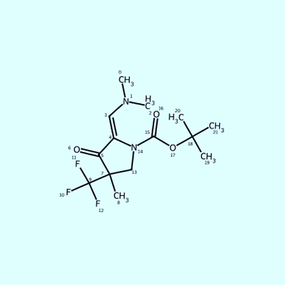 CN(C)C=C1C(=O)C(C)(C(F)(F)F)CN1C(=O)OC(C)(C)C